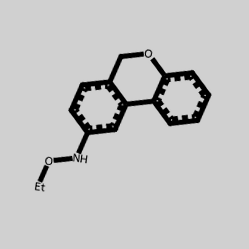 CCONc1ccc2c(c1)-c1ccccc1OC2